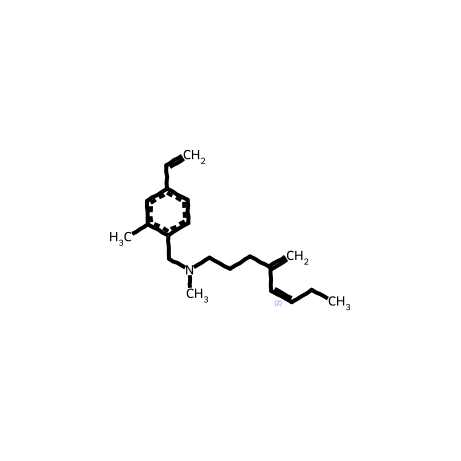 C=Cc1ccc(CN(C)CCCC(=C)/C=C\CC)c(C)c1